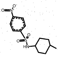 CC1CCC(NS(=O)(=O)c2ccc([N+](=O)[O-])cc2)CC1